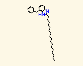 CCCCCCCCCCCCCCCCCc1nc2cccc(Cc3ccccc3)c2[nH]1